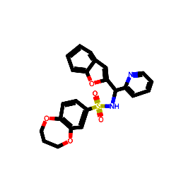 O=S(=O)(NC(c1ccccn1)c1cc2ccccc2o1)c1ccc2c(c1)OCCCO2